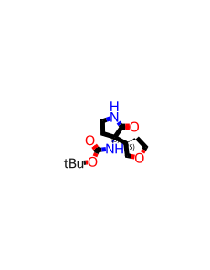 CC(C)(C)OC(=O)N[C@]1([C@@H]2CCOC2)CCNC1=O